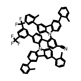 Cc1ccccc1-c1ccc2c(c1)c1cc(-c3ccccc3C)ccc1n2-c1cc(C#N)ccc1-c1ccc(-c2cc(C(F)(F)F)cc(C(F)(F)F)c2)cc1-n1c2ccc(-c3ccccc3C)cc2c2cc(-c3ccccc3C)ccc21